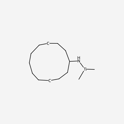 [CH3][Ti]([CH3])[NH]C1CCCCCCCCCCC1